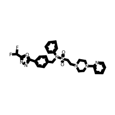 O=S(=O)(CCN1CCN(c2ccccn2)CC1)N(Cc1ccc(-c2nnc(C(F)F)o2)cc1)c1ccccc1